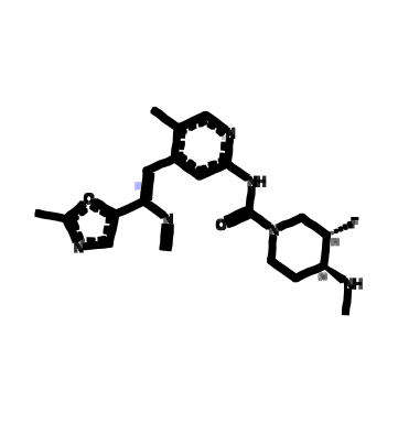 C=N/C(=C\c1cc(NC(=O)N2CC[C@H](NC)[C@@H](F)C2)ncc1C)c1cnc(C)o1